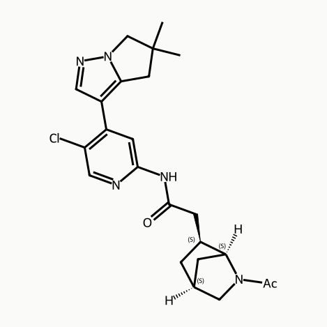 CC(=O)N1C[C@H]2C[C@@H](CC(=O)Nc3cc(-c4cnn5c4CC(C)(C)C5)c(Cl)cn3)[C@@H]1C2